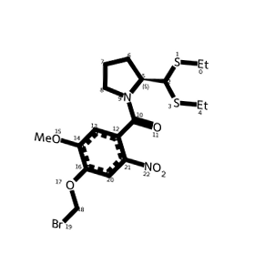 CCSC(SCC)[C@@H]1CCCN1C(=O)c1cc(OC)c(OCBr)cc1[N+](=O)[O-]